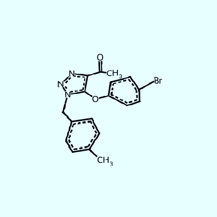 CC(=O)c1nnn(Cc2ccc(C)cc2)c1Oc1ccc(Br)cc1